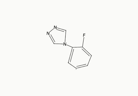 Fc1cc[c]cc1-n1cnnc1